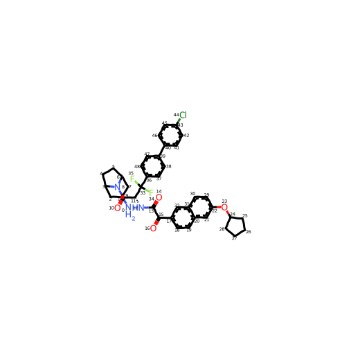 NC1CC2CCC(C1)N2C(=O)[C@@H](NC(=O)C(=O)c1ccc2cc(OC3CCCC3)ccc2c1)C(F)(F)c1ccc(-c2ccc(Cl)cc2)cc1